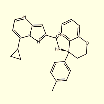 Cc1ccc([C@@]2(NC(=O)c3cc4nccc(C5CC5)n4n3)CCOc3cccnc32)cc1